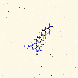 Cc1nc(N(C)C)cnc1NC(=O)N1CCN(c2nc(N)nc3c2cnn3C)[C@@H](C)C1